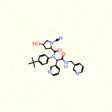 CC(C)(C)c1ccc(N(C(=O)C2CC(O)CN2C#N)C(C(=O)NCc2cccnc2)c2cccnc2)cc1